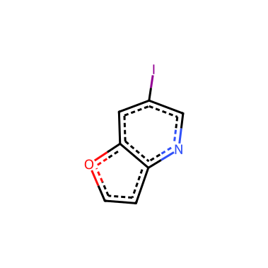 Ic1cnc2ccoc2c1